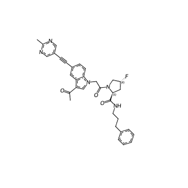 CC(=O)c1cn(CC(=O)N2C[C@H](F)C[C@H]2C(=O)NCCCc2ccccc2)c2ccc(C#Cc3cnc(C)nc3)cc12